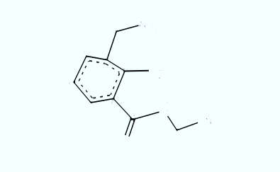 Cl.N#CCOC(=O)c1cccc(CN)c1O